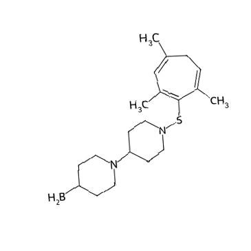 BC1CCN(C2CCN(SC3=C(C)C=C(C)CC=C3C)CC2)CC1